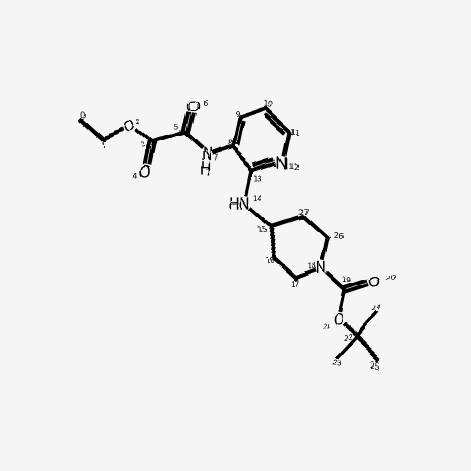 CCOC(=O)C(=O)Nc1cccnc1NC1CCN(C(=O)OC(C)(C)C)CC1